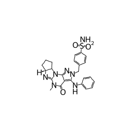 CN1C(=O)c2c(nn(Cc3ccc(S(N)(=O)=O)cc3)c2Nc2ccccc2)N2C1=N[C@@H]1CCCC12